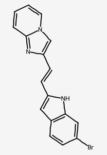 Brc1ccc2cc(C=Cc3cn4ccccc4n3)[nH]c2c1